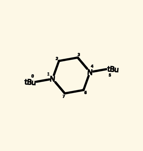 CC(C)(C)N1CCN(C(C)(C)C)CC1